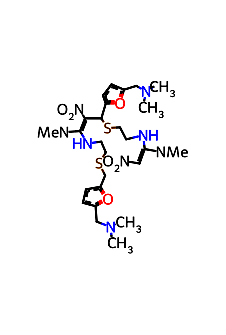 CNC(=C[N+](=O)[O-])NCCSC(C(=C(NC)NCCSCc1ccc(CN(C)C)o1)[N+](=O)[O-])c1ccc(CN(C)C)o1